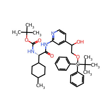 CC1CCC([C@H](NC(=O)OC(C)(C)C)C(=O)Nc2cc(C(O)CO[Si](c3ccccc3)(c3ccccc3)C(C)(C)C)ccn2)CC1